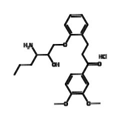 CCCC(N)C(O)COc1ccccc1CCC(=O)c1ccc(OC)c(OC)c1.Cl